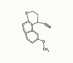 COc1ccc2ccc3c(c2c1)C(C#N)CCO3